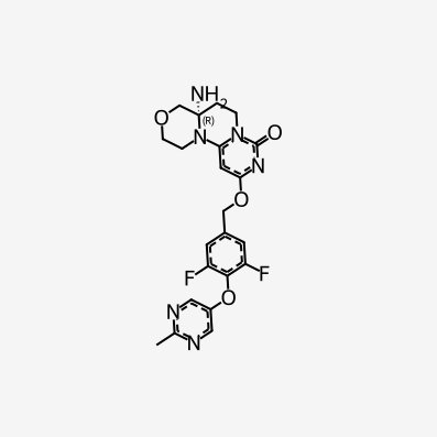 Cc1ncc(Oc2c(F)cc(COc3cc4n(c(=O)n3)CC[C@]3(N)COCCN43)cc2F)cn1